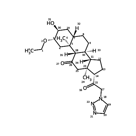 CCO[C@H]1C[C@@]2(C)[C@@H](CC[C@H]3[C@@H]4CC[C@H](C(=O)Cn5ccnn5)[C@@]4(C)CC(=O)[C@@H]32)C[C@@H]1O